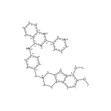 COc1ccc2c3c(oc2c1OC)CN(Cc1ccc(Nc2nc(-c4cccnc4)nc4ccccc24)cc1)CC3